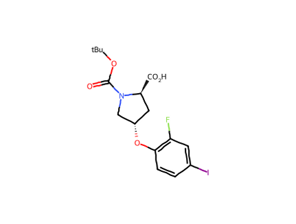 CC(C)(C)OC(=O)N1C[C@@H](Oc2ccc(I)cc2F)C[C@@H]1C(=O)O